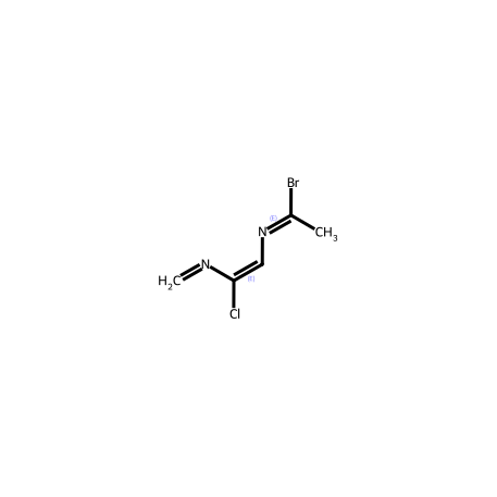 C=N/C(Cl)=C\N=C(/C)Br